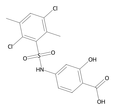 Cc1cc(Cl)c(C)c(S(=O)(=O)Nc2ccc(C(=O)O)c(O)c2)c1Cl